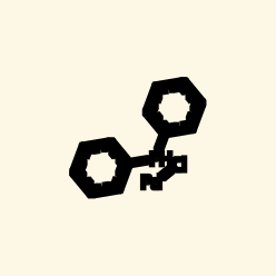 [Cl][Pd].c1ccc(Pc2ccccc2)cc1